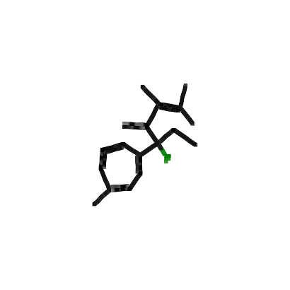 C=C(C(C)=C(C)C)C(F)(CC)C1=CC=C(C)C=C=C1